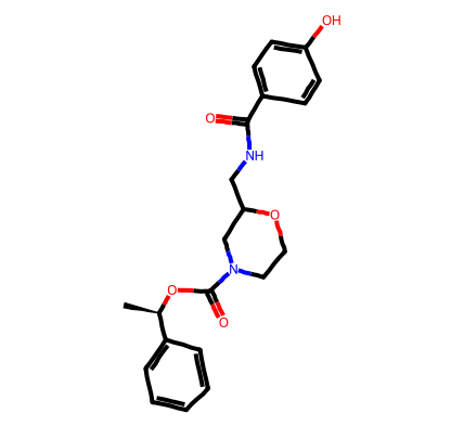 C[C@@H](OC(=O)N1CCOC(CNC(=O)c2ccc(O)cc2)C1)c1ccccc1